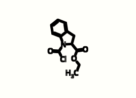 CCOC(=O)C1Cc2ccccc2N1C(=O)Cl